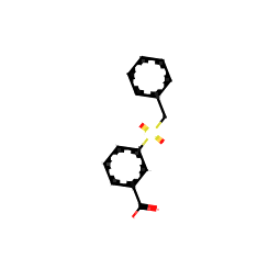 O=C(O)c1cccc(S(=O)(=O)Cc2ccccc2)c1